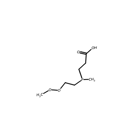 COOCCP(C)CCC(=O)O